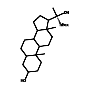 CCCCCC[C@](C)(O)C1CCC2C3CCC4CC(O)CCC4(C)C3CCC21C